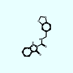 O=C(NCc1ccc2c(c1)OCO2)n1[nH]c2ccccc2c1=O